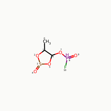 CC1OS(=O)OC1O[PH](=O)F